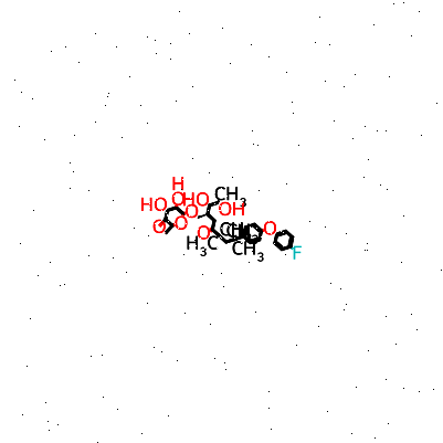 C[C@@H](O)[C@@H](O)[C@H](COC1OC2COC2C(O)C1O)CC(=O)C(C)(C)CC(C)(C)c1ccc(Oc2ccc(F)cc2)cc1